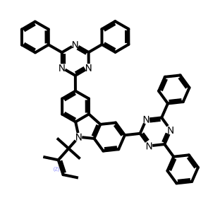 C/C=C(/C)C(C)(C)n1c2ccc(-c3nc(-c4ccccc4)nc(-c4ccccc4)n3)cc2c2cc(-c3nc(-c4ccccc4)nc(-c4ccccc4)n3)ccc21